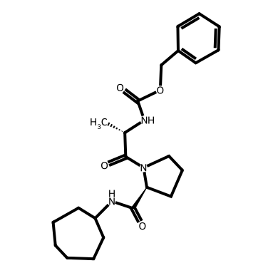 C[C@H](NC(=O)OCc1ccccc1)C(=O)N1CCC[C@H]1C(=O)NC1CCCCCC1